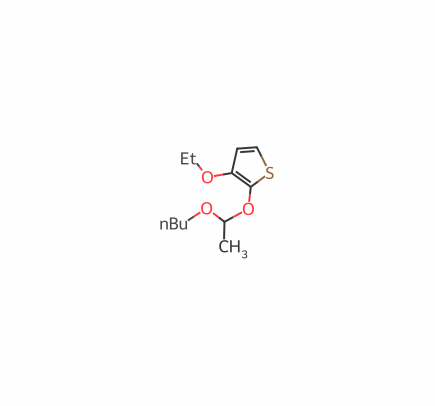 CCCCOC(C)Oc1sccc1OCC